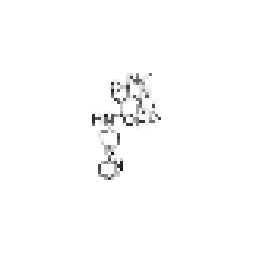 Cc1nc(NC2(C)CC2)c2c(C(=O)NC3CCN(c4ccccn4)CC3)coc2n1